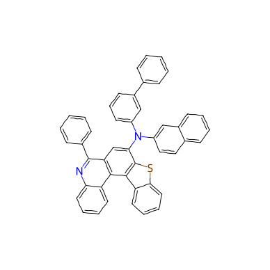 c1ccc(-c2cccc(N(c3ccc4ccccc4c3)c3cc4c(-c5ccccc5)nc5ccccc5c4c4c3sc3ccccc34)c2)cc1